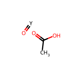 CC(=O)O.[O]=[Y]